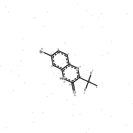 CC(F)(F)c1nc2ccc(Br)cc2[nH]c1=O